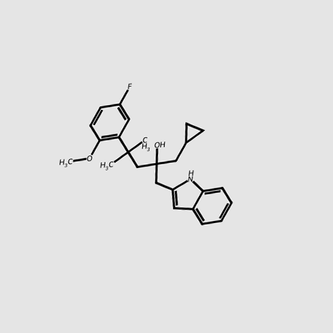 COc1ccc(F)cc1C(C)(C)CC(O)(Cc1cc2ccccc2[nH]1)CC1CC1